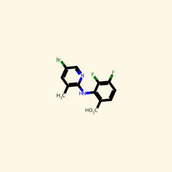 Cc1cc(Br)cnc1Nc1c(C(=O)O)ccc(F)c1F